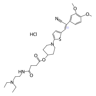 CCN(CC)CCNC(=O)CCC(=O)OC1CCN(c2ccc(/C=C(\C#N)c3ccc(OC)c(OC)c3)s2)CC1.Cl